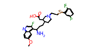 COc1ccc2ncc(F)c(C(N)CCC3CCN(CCSc4cc(F)ccc4F)CC3CC(=O)O)c2c1